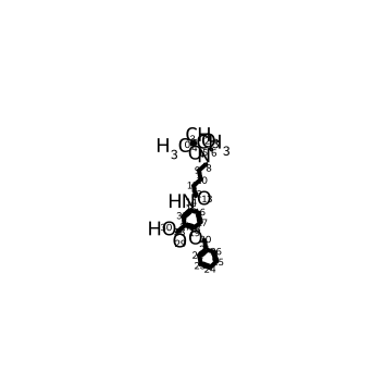 CC(C)(C)ON(C=O)CCCCC(=O)Nc1ccc(OCc2ccccc2)c(C(=O)O)c1